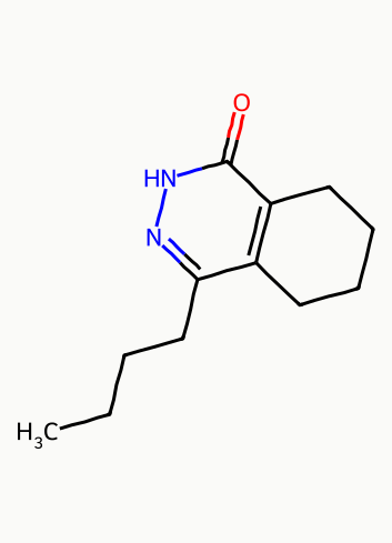 CCCCc1n[nH]c(=O)c2c1CCCC2